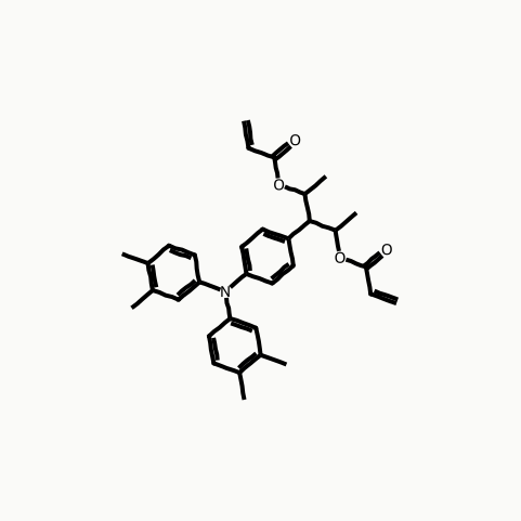 C=CC(=O)OC(C)C(c1ccc(N(c2ccc(C)c(C)c2)c2ccc(C)c(C)c2)cc1)C(C)OC(=O)C=C